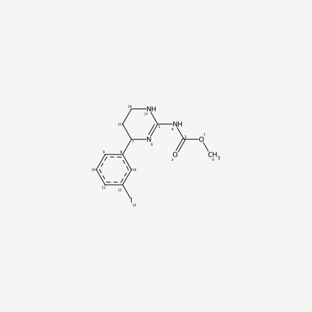 COC(=O)NC1=NC(c2cccc(I)c2)CCN1